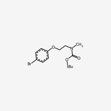 CN(CCOc1ccc(Br)cc1)C(=O)OC(C)(C)C